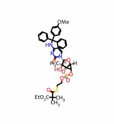 CCOC(=O)C(C)(C)C(=O)SCCO[P@@]1(=O)OC2[C@H]3O[C@@H](n4ccc(NC(c5ccccc5)(c5ccccc5)c5ccc(OC)cc5)nc4=O)[C@](C)(O)[C@@]23O1